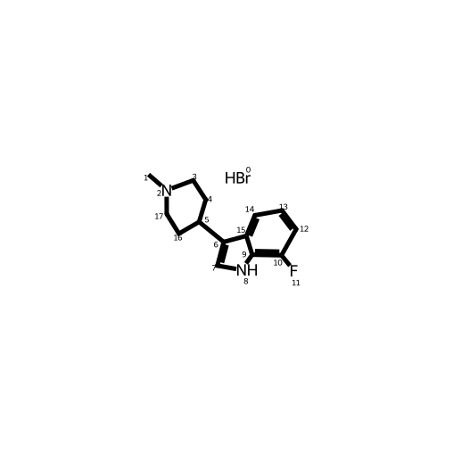 Br.CN1CCC(c2c[nH]c3c(F)cccc23)CC1